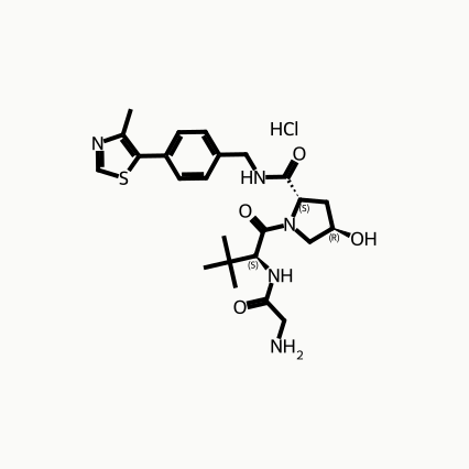 Cc1ncsc1-c1ccc(CNC(=O)[C@@H]2C[C@@H](O)CN2C(=O)[C@@H](NC(=O)CN)C(C)(C)C)cc1.Cl